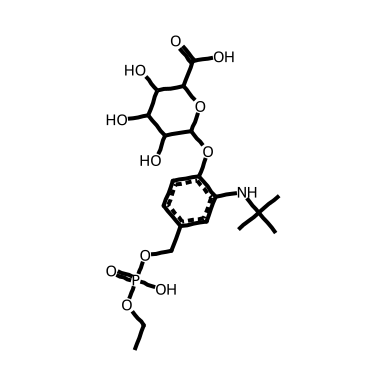 CCOP(=O)(O)OCc1ccc(OC2OC(C(=O)O)C(O)C(O)C2O)c(NC(C)(C)C)c1